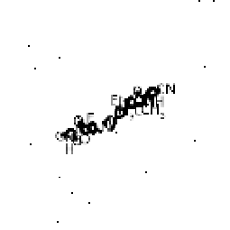 CCc1cc2c(cc1N1CCC(N3CCN(Cc4cc(F)c5c(c4)C(=O)N(C4CCC(=O)NC4=O)C5=O)CC3)CC1)C(C)(C)c1[nH]c3cc(C#N)ccc3c1C2=O